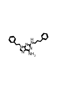 Nc1nc(NCCCc2ccccc2)nc2c1ncn2CCc1ccccc1